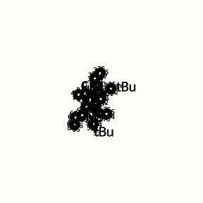 CN1c2ccccc2N2c3ccccc3C3(c4cc(N(c5ccc(C(C)(C)C)cc5)c5ccc6ccc7ccccc7c6c5)ccc4-c4c3cc(N(c3ccc(C(C)(C)C)cc3)c3ccc5ccc6ccccc6c5c3)c3oc5ccccc5c43)c3cccc1c32